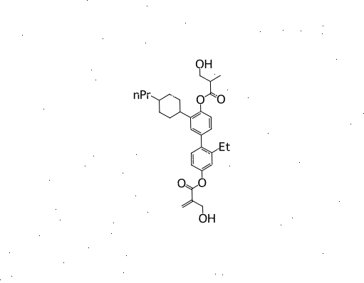 C=C(CO)C(=O)Oc1ccc(-c2ccc(OC(=O)C(C)CO)c(C3CCC(CCC)CC3)c2)c(CC)c1